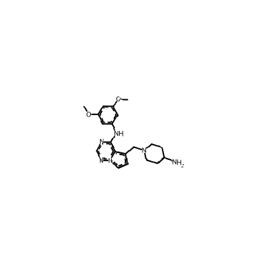 COc1cc(Nc2ncnn3ccc(CN4CCC(N)CC4)c23)cc(OC)c1